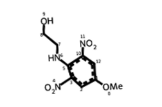 COc1cc([N+](=O)[O-])c(NCCO)c([N+](=O)[O-])c1